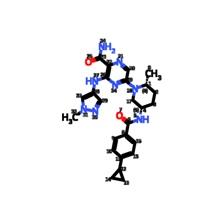 C[C@@H]1CC[C@H](NC(=O)c2ccc(C3CC3)cc2)CN1c1cnc(C(N)=O)c(Nc2cnn(C)c2)n1